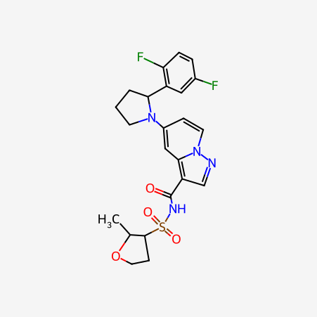 CC1OCCC1S(=O)(=O)NC(=O)c1cnn2ccc(N3CCCC3c3cc(F)ccc3F)cc12